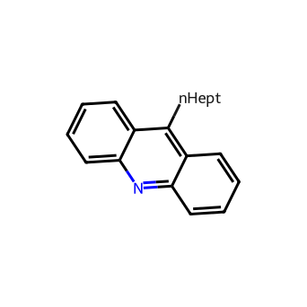 CCCCCCCc1c2ccccc2nc2ccccc12